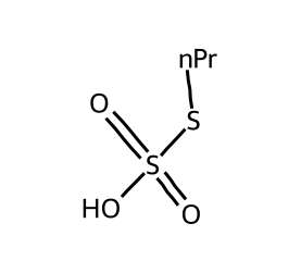 [CH2]CCSS(=O)(=O)O